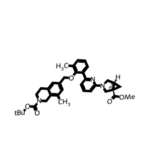 COC(=O)[C@]12C[C@H]1CN(c1cccc(-c3cccc(C)c3OCc3cc(C)c4c(c3)CCN(C(=O)OC(C)(C)C)C4)n1)C2